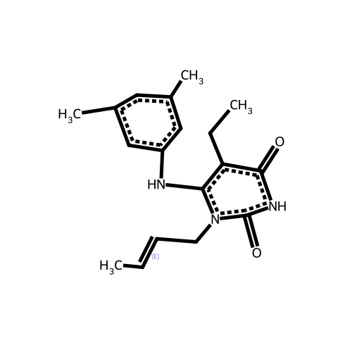 C/C=C/Cn1c(Nc2cc(C)cc(C)c2)c(CC)c(=O)[nH]c1=O